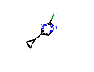 Brc1nc(C2CC2)c[nH]1